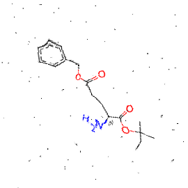 CC(C)(C)OC(=O)[C@@H](N)CCC(=O)OCc1ccccc1